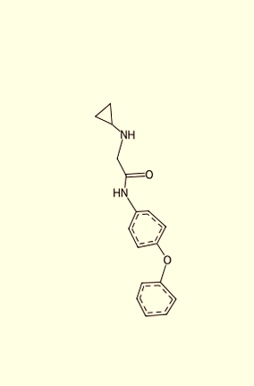 O=C(CNC1CC1)Nc1ccc(Oc2ccccc2)cc1